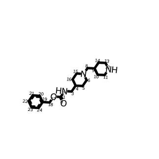 O=C(NCC1CCN(CC2CCNCC2)CC1)OCc1ccccc1